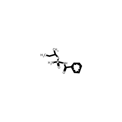 CCC(C)SP(N)(=O)NC(=O)c1ccccc1